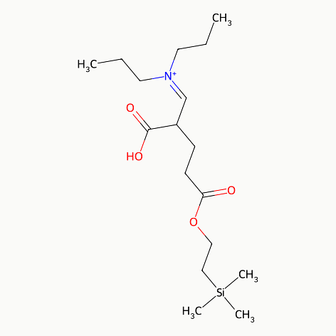 CCC[N+](=CC(CCC(=O)OCC[Si](C)(C)C)C(=O)O)CCC